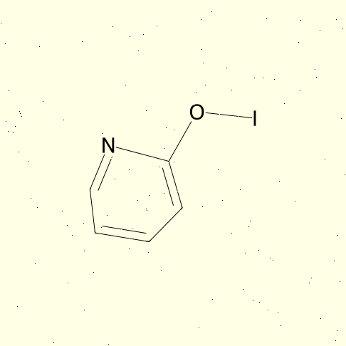 IOc1ccccn1